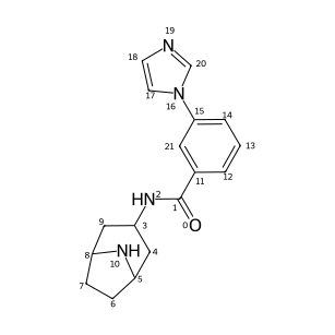 O=C(NC1CC2CCC(C1)N2)c1cccc(-n2ccnc2)c1